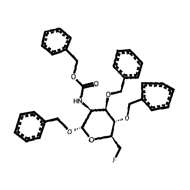 O=C(N[C@@H]1[C@@H](OCc2ccccc2)O[C@H](CF)[C@@H](OCc2ccccc2)[C@@H]1OCc1ccccc1)OCc1ccccc1